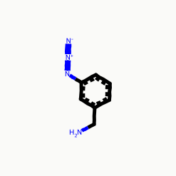 [N-]=[N+]=Nc1cccc(CN)c1